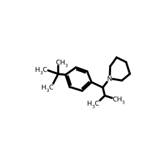 CC(C)C(c1ccc(C(C)(C)C)cc1)N1CCCCC1